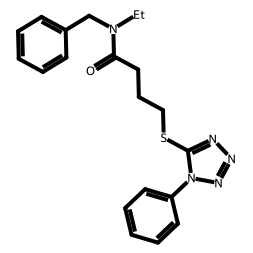 CCN(Cc1ccccc1)C(=O)CCCSc1nnnn1-c1ccccc1